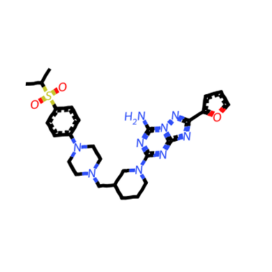 CC(C)S(=O)(=O)c1ccc(N2CCN(CC3CCCN(c4nc(N)n5nc(-c6ccco6)nc5n4)C3)CC2)cc1